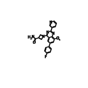 COc1cc(-c2ccc(F)cc2)cc2c(N3CC(C(N)=O)C3)nc(-c3cccnc3)nc12